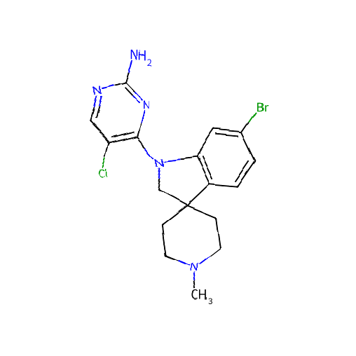 CN1CCC2(CC1)CN(c1nc(N)ncc1Cl)c1cc(Br)ccc12